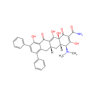 CN(C)[C@@H]1C(O)=C(C(N)=O)C(=O)[C@@]2(O)C(O)=C3C(=O)c4c(O)c(-c5ccccc5)cc(-c5ccccc5)c4C[C@H]3C[C@@H]12